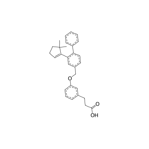 CC1(C)CCC=C1c1cc(COc2cccc(CCC(=O)O)c2)ccc1-c1ccccc1